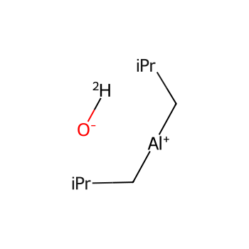 CC(C)[CH2][Al+][CH2]C(C)C.[2H][O-]